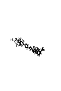 CN(C)C(=O)c1ccc(N2CCC([C@H]3C[C@H](N(C)C(O)[C@](O)(c4cccc(C5CC5)c4)C(F)(F)F)C3)CC2)nc1Cl